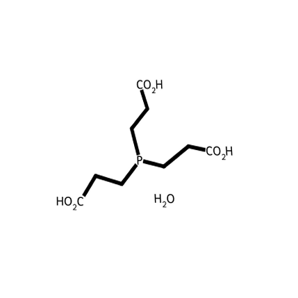 O.O=C(O)CCP(CCC(=O)O)CCC(=O)O